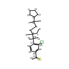 CCC(C)(CCC(C)(C)C1CCCC1)C(C)(C)c1ccc(C(C)=S)cc1Cl